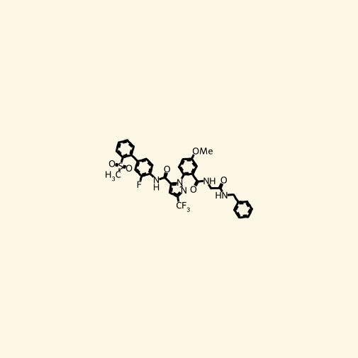 COc1ccc(-n2nc(C(F)(F)F)cc2C(=O)Nc2ccc(-c3ccccc3S(C)(=O)=O)cc2F)c(C(=O)NCC(=O)NCc2ccccc2)c1